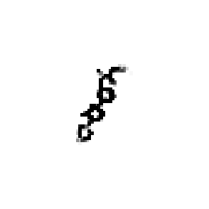 Cc1cc(-c2cccc(CN(C)C(=O)CN)c2)ccc1N1CCOCC1